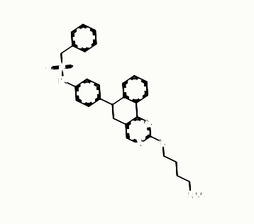 CNCCCCNc1ncc2c(n1)-c1ccccc1C(c1ccc(NS(=O)(=O)Cc3ccccc3)cc1)C2